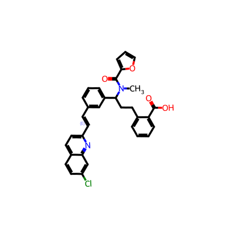 CN(C(=O)c1ccco1)C(CCc1ccccc1C(=O)O)c1cccc(/C=C/c2ccc3ccc(Cl)cc3n2)c1